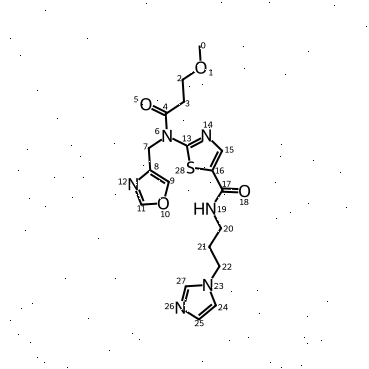 COCCC(=O)N(Cc1cocn1)c1ncc(C(=O)NCCCn2ccnc2)s1